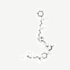 Cc1cc(NC2CCN(C(=O)CCNCC(=O)O)CC2)nc(NCc2nnn(CCCNCCCNC3CCCCC3)n2)n1